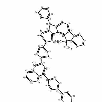 CC1(C)c2ccccc2-c2ccc3c(c21)c1cc(-c2ccc(-c4nc(-c5ccc(-c6ccccc6)cc5)c5ccccc5n4)cc2)ccc1n3-c1ccccc1